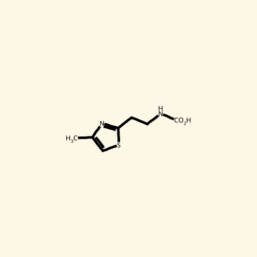 Cc1csc(CCNC(=O)O)n1